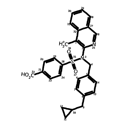 Cc1c(N(Cc2ccc(CC3CC3)cc2)S(=O)(=O)c2ccc(C(=O)O)cc2)ncc2ccccc12